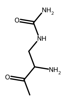 CC(=O)C(N)CNC(N)=O